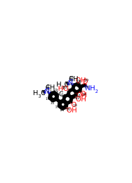 CC1c2c(-c3ccc(N(C)C)cc3)ccc(O)c2C(=O)C2=C(O)C3(O)C(=O)C(C(N)=O)=C(O)C(N(C)C)C3C(O)C21